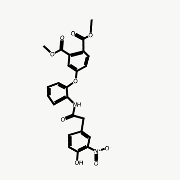 COC(=O)c1ccc(Oc2ccccc2NC(=O)Cc2ccc(O)c([N+](=O)[O-])c2)cc1C(=O)OC